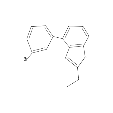 CCC1=Cc2c(cccc2-c2cccc(Br)c2)[CH]1